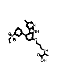 CCS(=O)(=O)c1cccc(-c2ccc(OCCCNC(C)C(=O)O)c3[nH]c4ncc(C)cc4c23)c1